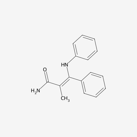 CC(C(N)=O)=C(Nc1ccccc1)c1ccccc1